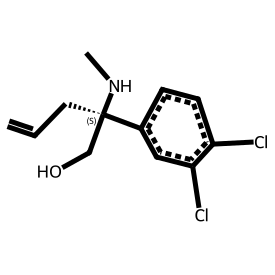 C=CC[C@](CO)(NC)c1ccc(Cl)c(Cl)c1